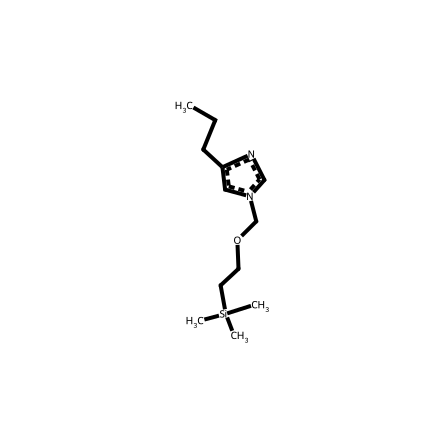 CCCc1cn(COCC[Si](C)(C)C)cn1